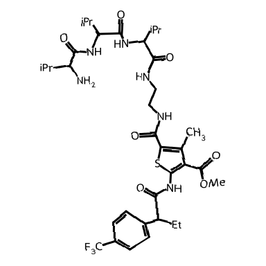 CCC(C(=O)Nc1sc(C(=O)NCCNC(=O)C(NC(=O)C(NC(=O)C(N)C(C)C)C(C)C)C(C)C)c(C)c1C(=O)OC)c1ccc(C(F)(F)F)cc1